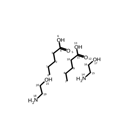 CCCCC(=O)O.CCCCC(=O)O.NCCO.NCCO